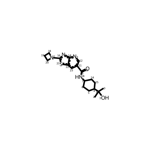 CC(C)(O)C1CCC(NC(=O)c2cnc3nc(N4CCC4)sc3c2)CC1